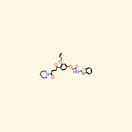 C=CCOc1cc(OCC(=O)Nc2nc3ccccc3s2)ccc1C(=O)C=CC(=O)N1CCCCC1